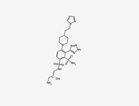 NC[C@@H](O)CNS(=O)(=O)c1ccc(N2CCC(CCn3cccn3)CC2)c(-c2nn[nH]n2)c1S(N)(=O)=O